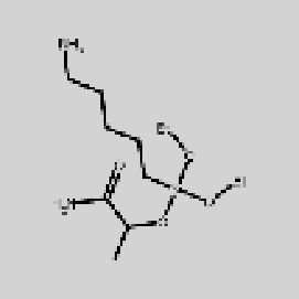 CCO[Si](CCCCCN)(OCC)OC(C)C(N)=O